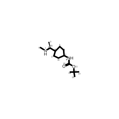 CN[C@@H](C)C1CCC(NC(=O)OC(C)(C)C)CC1